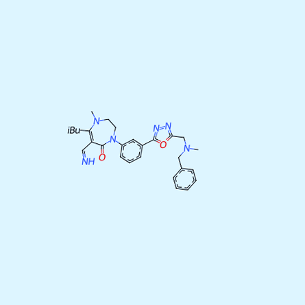 CCC(C)C1=C(C=N)C(=O)N(c2cccc(-c3nnc(CN(C)Cc4ccccc4)o3)c2)CCN1C